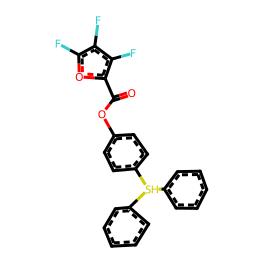 O=C(Oc1ccc([SH](c2ccccc2)c2ccccc2)cc1)c1oc(F)c(F)c1F